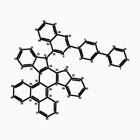 c1ccc(-c2ccc(-c3nc(-n4c5ccccc5c5c6c7ccccc7c7ccccc7c6c6c7ccccc7oc6c54)c4ccccc4n3)cc2)cc1